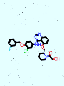 O=C(CO)N1CCCC[C@@H]1COc1cccc2ncnc(Nc3ccc(OCc4cccc(F)c4)c(Cl)c3)c12